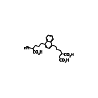 CCCC(CCCc1ccc(CCCC(CC(=O)O)C(=O)O)c2ccccc12)C(=O)O